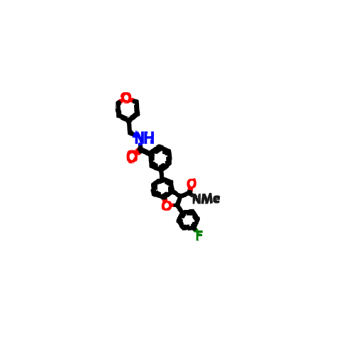 CNC(=O)C1c2cc(-c3cccc(C(=O)NCC4CCOCC4)c3)ccc2OC1c1ccc(F)cc1